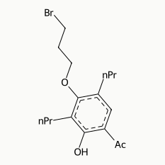 CCCc1cc(C(C)=O)c(O)c(CCC)c1OCCCBr